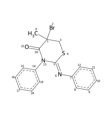 CC1(Br)CS/C(=N\c2ccccc2)N(c2ccccc2)C1=O